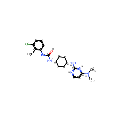 Cc1c(Cl)cccc1NC(=O)N[C@H]1CC[C@@H](Nc2nccc(N(C)C)n2)CC1